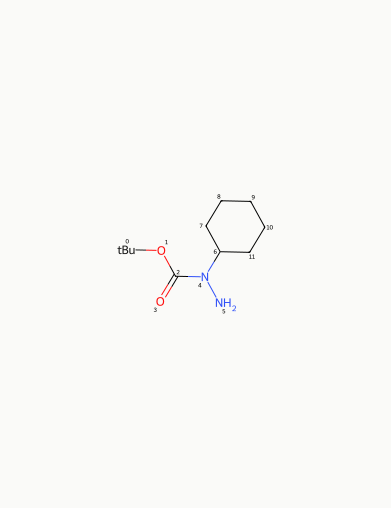 CC(C)(C)OC(=O)N(N)C1CCCCC1